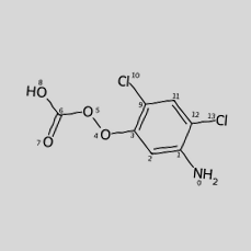 Nc1cc(OOC(=O)O)c(Cl)cc1Cl